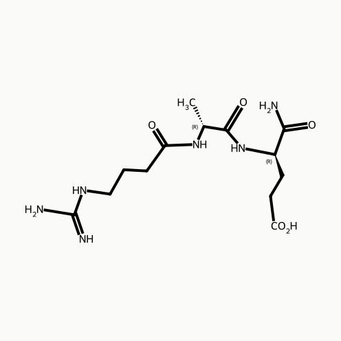 C[C@@H](NC(=O)CCCNC(=N)N)C(=O)N[C@H](CCC(=O)O)C(N)=O